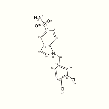 NS(=O)(=O)c1ccc2c(ccn2Cc2ccc(Cl)c(Cl)c2)c1